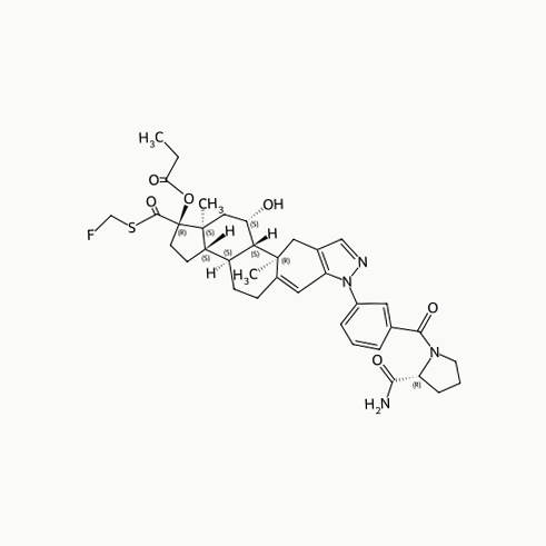 CCC(=O)O[C@]1(C(=O)SCF)CC[C@H]2[C@@H]3CCC4=Cc5c(cnn5-c5cccc(C(=O)N6CCC[C@@H]6C(N)=O)c5)C[C@]4(C)[C@H]3[C@@H](O)C[C@@]21C